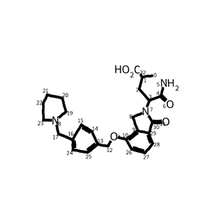 CC(CC(C(N)=O)N1Cc2c(OCc3ccc(CN4CCCCC4)cc3)cccc2C1=O)C(=O)O